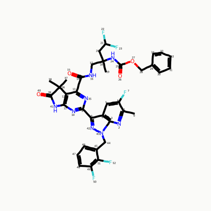 Cc1nc2c(cc1F)c(-c1nc3c(c(C(=O)NCC(C)(CC(F)F)NC(=O)OCc4ccccc4)n1)C(C)(C)C(=O)N3)nn2Cc1cccc(F)c1F